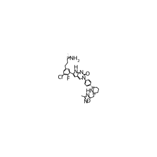 Cc1noc(C[C@@H]2CCC[C@@H](c3ccc(-n4cc5cc(-c6cc(CCC[C@H](C)N)cc(Cl)c6F)[nH]c5nc4=O)cc3)N2)n1